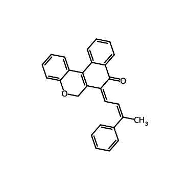 C/C(=C/C=C1\C(=O)c2ccccc2C2=C1COc1ccccc12)c1ccccc1